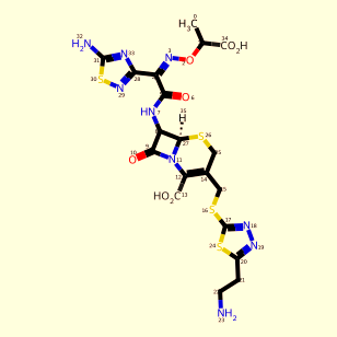 CC(O/N=C(\C(=O)NC1C(=O)N2C(C(=O)O)=C(CSc3nnc(CCN)s3)CS[C@H]12)c1nsc(N)n1)C(=O)O